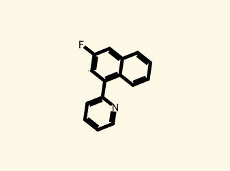 Fc1[c]c(-c2ccccn2)c2ccccc2c1